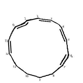 [C]1=CC=CC=CC=CCCCCC=C1